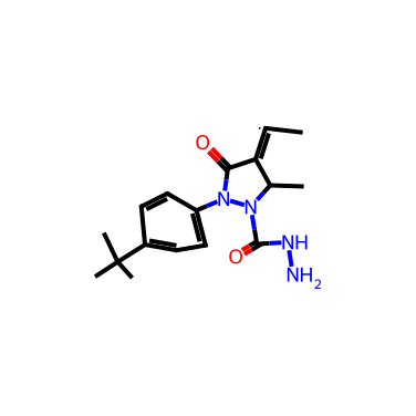 C[C]=C1C(=O)N(c2ccc(C(C)(C)C)cc2)N(C(=O)NN)C1C